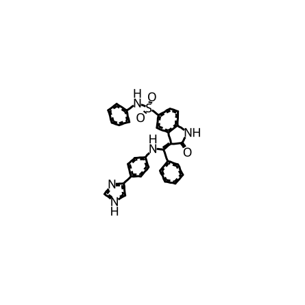 O=C1Nc2ccc(S(=O)(=O)Nc3ccccc3)cc2C1=C(Nc1ccc(-c2c[nH]cn2)cc1)c1ccccc1